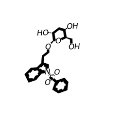 O=S(=O)(c1ccccc1)n1cc(CCO[C@@H]2O[C@H](CO)[C@@H](O)C[C@H]2O)c2ccccc21